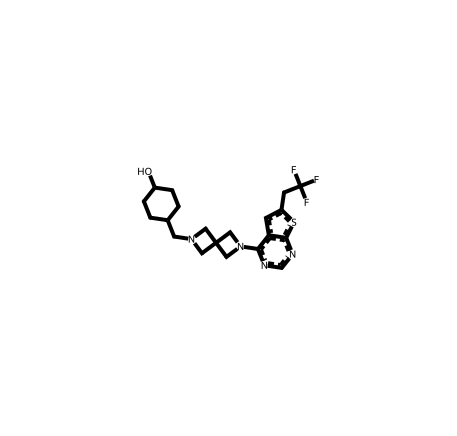 OC1CCC(CN2CC3(C2)CN(c2ncnc4sc(CC(F)(F)F)cc24)C3)CC1